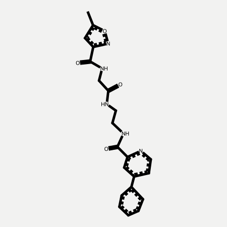 Cc1cc(C(=O)NCC(=O)NCCNC(=O)c2cc(-c3ccccc3)ccn2)no1